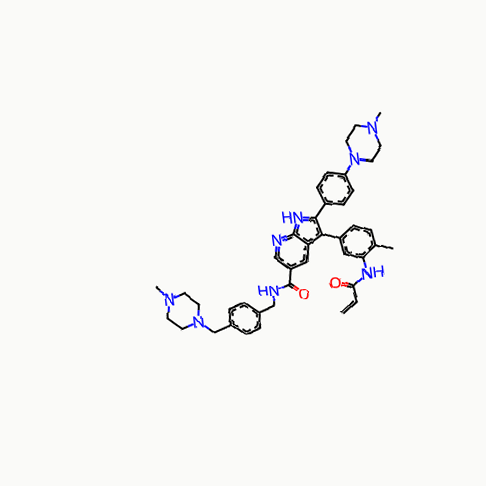 C=CC(=O)Nc1cc(-c2c(-c3ccc(N4CCN(C)CC4)cc3)[nH]c3ncc(C(=O)NCc4ccc(CN5CCN(C)CC5)cc4)cc23)ccc1C